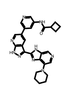 O=C(Nc1cncc(-c2cnc3[nH]nc(-c4nc5c(N6CCCCC6)cncc5[nH]4)c3c2)c1)C1CCC1